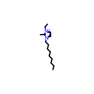 CCCCCCCCCn1cc[n+](CC)c1C